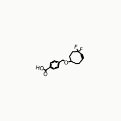 O=C(O)c1ccc(COC2CCC#CC(F)(F)CC2)cc1